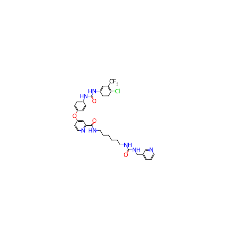 O=C(NCCCCCCNC(=O)c1cc(Oc2ccc(NC(=O)Nc3ccc(Cl)c(C(F)(F)F)c3)cc2)ccn1)NCc1cccnc1